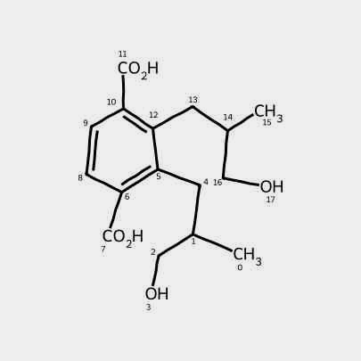 CC(CO)Cc1c(C(=O)O)ccc(C(=O)O)c1CC(C)CO